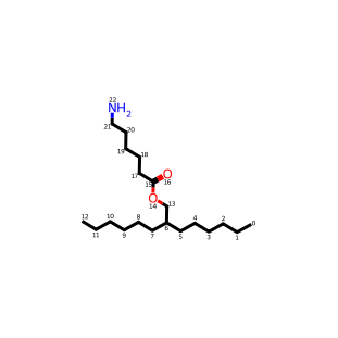 CCCCCCC(CCCCCC)COC(=O)CCCCCN